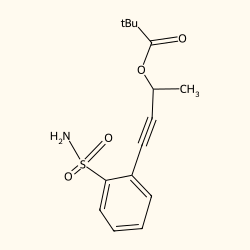 CC(C#Cc1ccccc1S(N)(=O)=O)OC(=O)C(C)(C)C